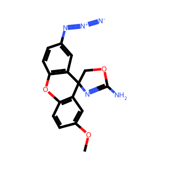 COc1ccc2c(c1)C1(COC(N)=N1)c1cc(N=[N+]=[N-])ccc1O2